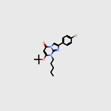 CCCCCn1c(OC(C)(C)C)cc(=O)n2cc(-c3ccc(Cl)cc3)nc12